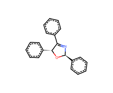 c1ccc(C2=N[C@@H](c3ccccc3)O[C@@H]2c2ccccc2)cc1